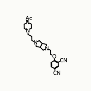 CC(=O)N1CCN(CCCN2CC3CN(CCOc4ccc(C#N)cc4C#N)CC3C2)CC1